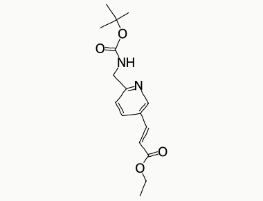 CCOC(=O)C=Cc1ccc(CNC(=O)OC(C)(C)C)nc1